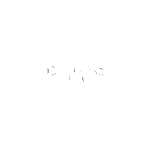 COc1ccc(COC(=O)C2=CS[C@H]3N2C(=O)C3(Br)C(OC(C)=O)c2cn3c(n2)SCC3)cc1